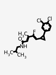 CC(=CC(=O)NCC(C)C)C(F)=CC1CC1c1ccc(Cl)c(Cl)c1